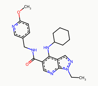 CCn1ncc2c(NC3CCCCC3)c(C(=O)NCc3ccc(OC)nc3)cnc21